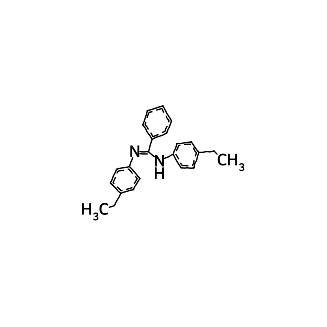 CCc1ccc(/N=C(\Nc2ccc(CC)cc2)c2ccccc2)cc1